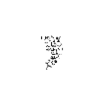 CNc1ccc(Nc2nc(Nc3ccc(C(N)=O)cc3)nc3c2ccn3S(=O)(=O)c2ccc(C)cc2)cc1C=N